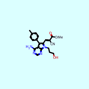 COC(=O)/C(C#N)=C/c1c(-c2ccc(C)cc2)c2c(N)ncnc2n1CCCO